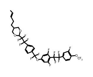 C/C=C/CCC1COC(C(F)(F)C(F)(F)c2ccc(C(F)(F)Oc3cc(F)c(C(F)(F)C(F)(F)c4ccc(OC(F)(F)F)c(F)c4)c(F)c3)cc2)OC1